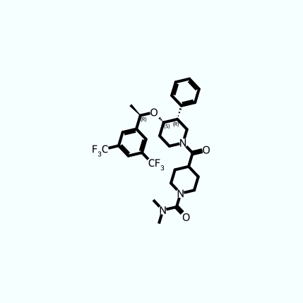 C[C@@H](O[C@H]1CCN(C(=O)C2CCN(C(=O)N(C)C)CC2)C[C@H]1c1ccccc1)c1cc(C(F)(F)F)cc(C(F)(F)F)c1